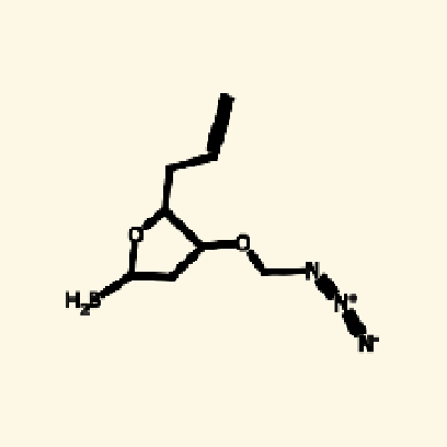 BC1CC(OCN=[N+]=[N-])C(CC=C)O1